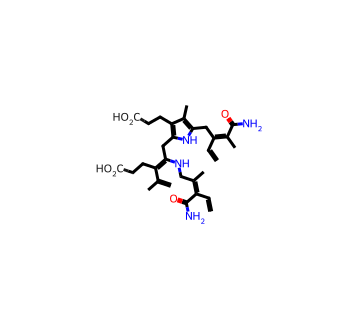 C=C/C(C(N)=O)=C(\C)CN/C(Cc1[nH]c(C/C(C=C)=C(/C)C(N)=O)c(C)c1CCC(=O)O)=C(/CCC(=O)O)C(=C)C